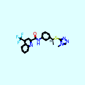 C[C@H](Sc1nncn1C)c1cccc(NC(=O)c2cc(C(F)(F)F)c3ccccc3n2)c1